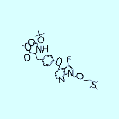 COC(=O)[C@H](Cc1ccc(Oc2ccnc3c2c(F)cn3COCCS(C)(C)C)cc1)NC(=O)OC(C)(C)C